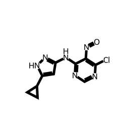 O=Nc1c(Cl)ncnc1Nc1cc(C2CC2)[nH]n1